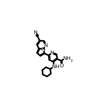 N#Cc1cnn2c(-c3cc(NC4CCCCC4)c(C(N)=O)cn3)ccc2c1